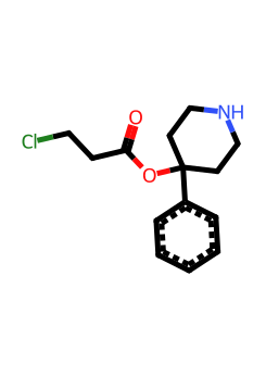 O=C(CCCl)OC1(c2ccccc2)CCNCC1